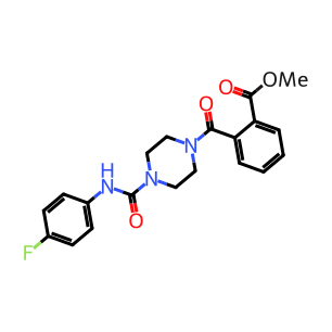 COC(=O)c1ccccc1C(=O)N1CCN(C(=O)Nc2ccc(F)cc2)CC1